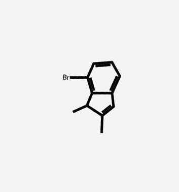 CC1=Cc2cccc(Br)c2C1C